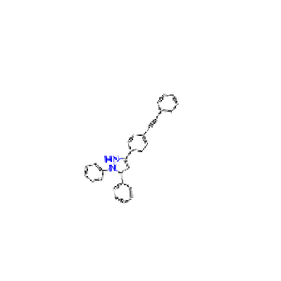 C(#Cc1ccc(C2=CC(c3ccccc3)N(c3ccccc3)N2)cc1)c1ccccc1